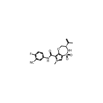 C=C(C)[C@@H]1COc2c(cn(C)c2C(=O)Nc2ccc(F)c(C#N)c2)S(=O)(=O)N1